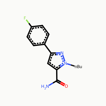 CCCCn1nc(-c2ccc(F)cc2)cc1C(N)=O